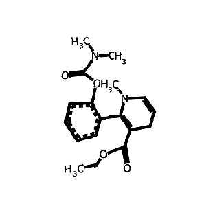 CCOC(=O)C1=C(c2ccccc2OC(=O)N(C)C)N(C)C=CC1